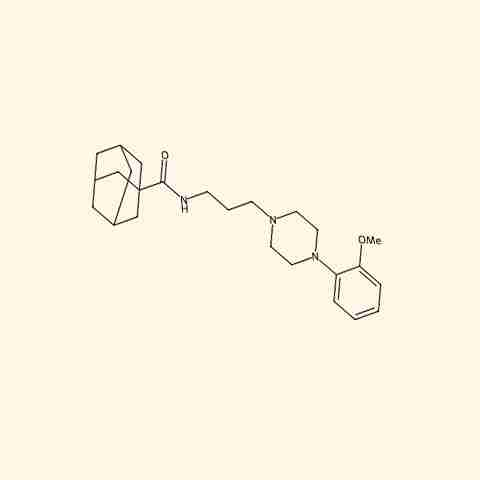 COc1ccccc1N1CCN(CCCNC(=O)C23CC4CC(CC(C4)C2)C3)CC1